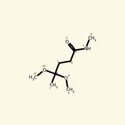 CNC(=O)CCC(C)(OC)OC